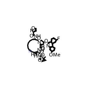 COc1ccc2c(c1)nc(O[C@@H]1C[C@H]3C(=O)N[C@]4(C(=O)NS(=O)(=O)C5(C)CC5)C[C@H]4/C=C\CCCCC[C@H](NC(=O)c4ccon4)C(=O)N3C1)c1ccc(F)cc12